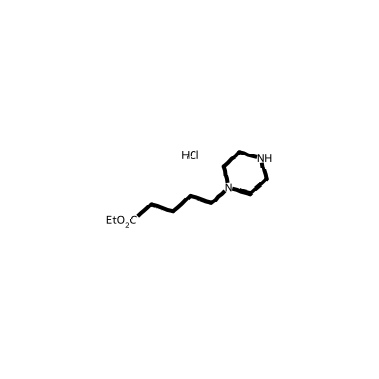 CCOC(=O)CCCCN1CCNCC1.Cl